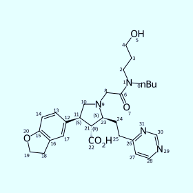 CCCCN(CCCO)C(=O)CN1C[C@H](c2ccc3c(c2)CCO3)[C@@H](C(=O)O)[C@@H]1CCc1ccncn1